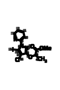 COC(=O)[C@@H](C)Oc1nn(-c2ccccn2)c(I)c1Cl